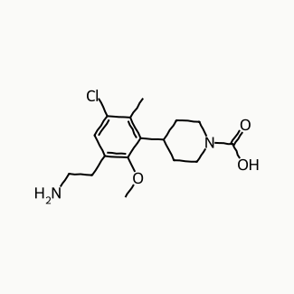 COc1c(CCN)cc(Cl)c(C)c1C1CCN(C(=O)O)CC1